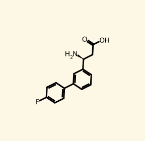 N[C@@H](CC(=O)O)c1cccc(-c2ccc(F)cc2)c1